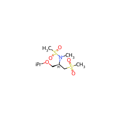 CC(C)OC[C@H](CS(C)(=O)=O)N(C)S(C)(=O)=O